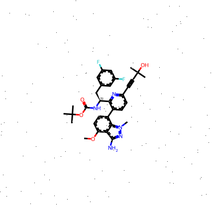 COc1ccc(-c2ccc(C#CC(C)(C)O)nc2[C@H](Cc2cc(F)cc(F)c2)NC(=O)OC(C)(C)C)c2c1c(N)nn2C